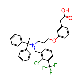 CC(c1ccccc1)(c1ccccc1)N(CCCOc1cccc(CC(=O)O)c1)Cc1cccc(C(F)(F)F)c1Cl